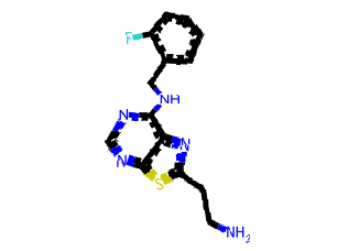 NCCc1nc2c(NCc3ccccc3F)ncnc2s1